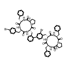 O=C1N[C@H](Cc2ccc(Br)cc2)C(=O)N[C@@H](Cc2ccccc2-c2ccc(C[C@H]3NC(=O)[C@H](Cc4ccccc4)NC(=O)[C@H]4CCCN4C(=O)[C@H](Cc4ccccc4)NC3=O)c(Br)c2)C(=O)N2CCC[C@@H]2C(=O)N[C@H]1Cc1ccccc1